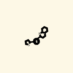 c1csc([C]23[CH]4[CH]5[C]6(c7ccc8ccccc8n7)[CH]2[Fe]54632789[CH]3[CH]2[CH]7[CH]8[CH]39)c1